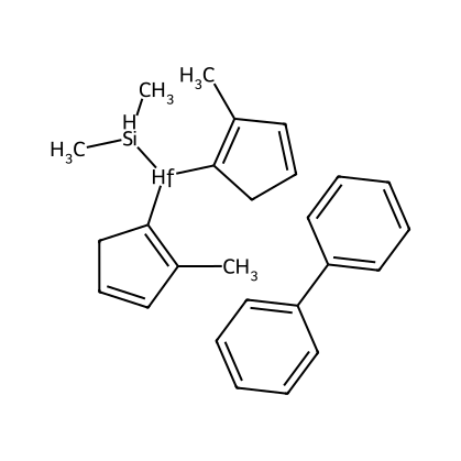 CC1=[C]([Hf]([C]2=C(C)C=CC2)[SiH](C)C)CC=C1.c1ccc(-c2ccccc2)cc1